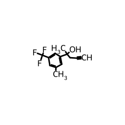 C#CCC(C)(O)c1cc(C)cc(C(F)(F)F)c1